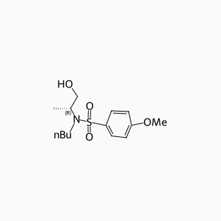 CCCCN([C@H](C)CO)S(=O)(=O)c1ccc(OC)cc1